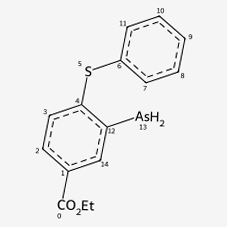 CCOC(=O)c1ccc(Sc2ccccc2)c([AsH2])c1